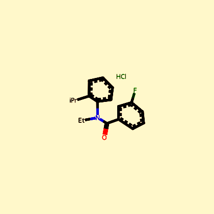 CCN(C(=O)c1cccc(F)c1)c1ccccc1C(C)C.Cl